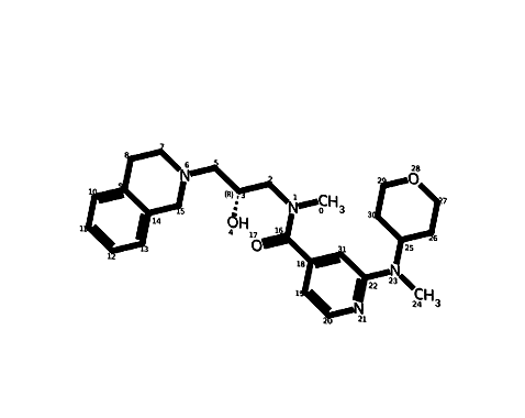 CN(C[C@H](O)CN1CCc2ccccc2C1)C(=O)c1ccnc(N(C)C2CCOCC2)c1